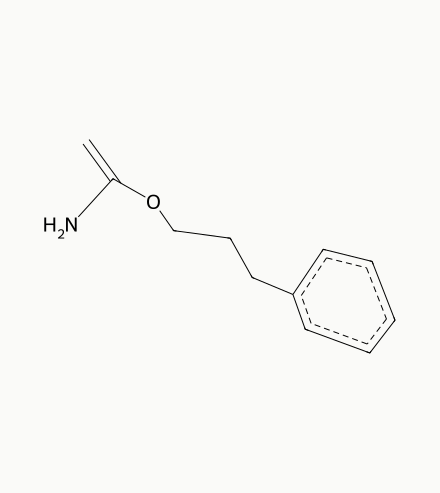 C=C(N)OCCCc1ccccc1